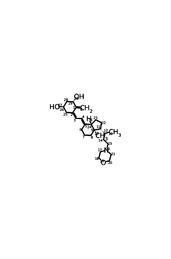 C=C1/C(=C\C=C2/CCC[C@]3(C)[C@@H](C(C)CCN4CCOCC4)CC[C@@H]23)C[C@@H](O)C[C@@H]1O